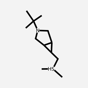 C[SH](C)CC1C2CN(C(C)(C)C)CC21